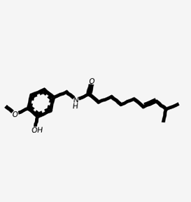 COc1ccc(CNC(=O)CCCCC=CC(C)C)cc1O